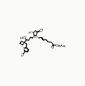 COC(=O)CCCC=CC[C@H]1C(=O)C[C@@H](O)[C@@H]1C=CCC(O)C1(Cc2ccc(Cl)s2)CCC1